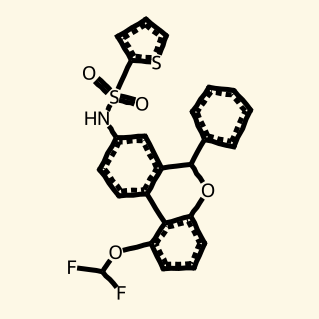 O=S(=O)(Nc1ccc2c(c1)C(c1ccccc1)Oc1cccc(OC(F)F)c1-2)c1cccs1